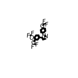 FC(F)Oc1ccc(-n2nccc2-c2ccc(OC(F)F)c(OC(F)F)c2)cc1